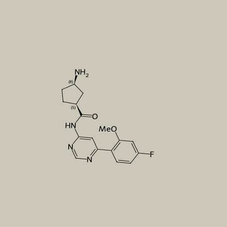 COc1cc(F)ccc1-c1cc(NC(=O)[C@H]2CC[C@@H](N)C2)ncn1